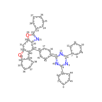 c1ccc(-c2nc(-c3ccccc3)nc(-c3ccc(-c4c5nc(-c6ccccc6)oc5cc5oc6ccccc6c45)cc3)n2)cc1